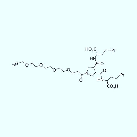 C#CCOCCOCCOCCOCCC(=O)N1C[C@@H](C(=O)N[C@@H](CCC(C)C)C(=O)O)[C@H](C(=O)N[C@@H](CCC(C)C)C(=O)O)C1